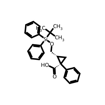 CC(C)(C)[Si](OC[C@@H]1C[C@@]1(C(=O)O)c1ccccc1)(c1ccccc1)c1ccccc1